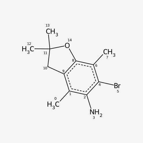 Cc1c(N)c(Br)c(C)c2c1CC(C)(C)O2